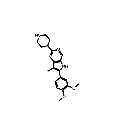 COc1ccc(-c2[nH]c3cnc(C4CCNCC4)nc3c2C)cc1OC